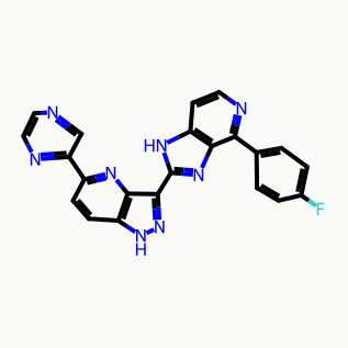 Fc1ccc(-c2nccc3[nH]c(-c4n[nH]c5ccc(-c6cnccn6)nc45)nc23)cc1